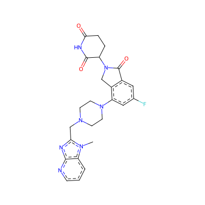 Cn1c(CN2CCN(c3cc(F)cc4c3CN(C3CCC(=O)NC3=O)C4=O)CC2)nc2ncccc21